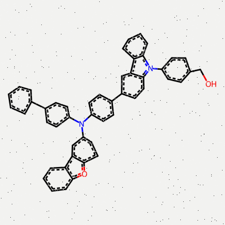 OCc1ccc(-n2c3ccccc3c3cc(-c4ccc(N(c5ccc(-c6ccccc6)cc5)c5ccc6oc7ccccc7c6c5)cc4)ccc32)cc1